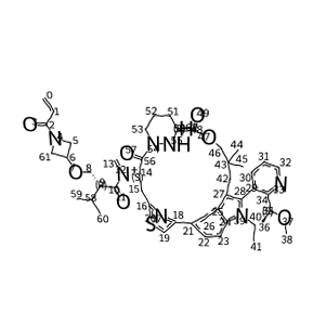 C=CC(=O)N1CC(OC[C@H](C(=O)[N+](=C)[C@H]2Cc3nc(cs3)-c3ccc4c(c3)c(c(-c3cccnc3[C@H](C)OC)n4CC)CC(C)(C)COC(=O)[C@@H]3CCCN(N3)C2=O)C(C)C)C1